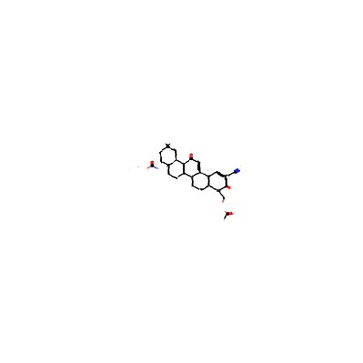 COC(=O)N[C@@]12CCC3C(C(=O)C=C4[C@@]5(C)C=C(C#N)C(=O)[C@@](C)(COC(C)=O)C5CC[C@]43C)C1CC(C)(C)CC2